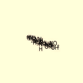 [2H]N1c2cc(C3Nc4ccc(N5CCN(C)CC5)cc4N3[2H])ccc2NC1c1ccc(NC(=O)c2ccc(CO)c([N+](=O)[O-])c2)cc1